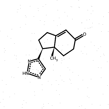 C[C@]12CCC(=O)C=C1CC[C@@H]2c1cn[nH]n1